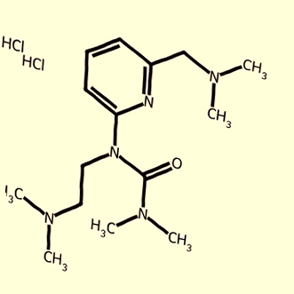 CN(C)CCN(C(=O)N(C)C)c1cccc(CN(C)C)n1.Cl.Cl